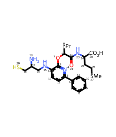 CCCC(Oc1nc(-c2ccccc2)ccc1NCC(N)CS)C(=O)NC(CCSC)C(=O)O